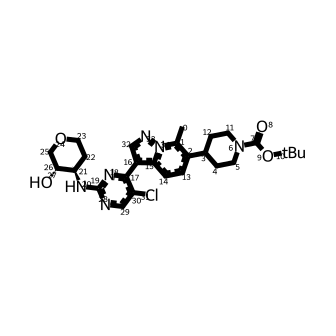 Cc1c(C2CCN(C(=O)OC(C)(C)C)CC2)ccc2c(-c3nc(N[C@@H]4CCOC[C@H]4O)ncc3Cl)cnn12